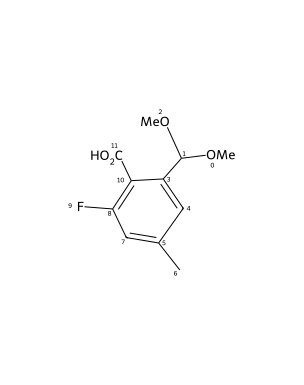 COC(OC)c1cc(C)cc(F)c1C(=O)O